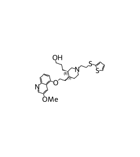 COc1cnc2cccc(OCC[C@@H]3CCN(CCSc4cccs4)C[C@@H]3CCCO)c2c1